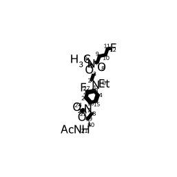 CCN(CCON(C)C(=O)CCCF)c1ccc(N2C[C@H](CNC(C)=O)OC2=O)cc1F